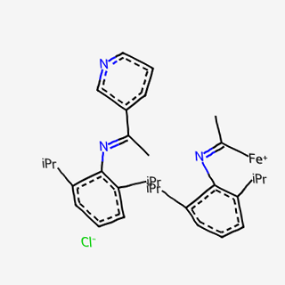 CC(=Nc1c(C(C)C)cccc1C(C)C)c1cccnc1.C[C]([Fe+])=Nc1c(C(C)C)cccc1C(C)C.[Cl-]